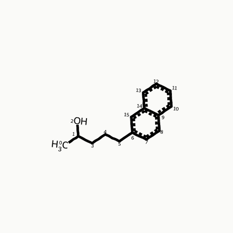 CC(O)CCCc1ccc2ccccc2c1